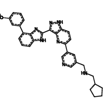 COc1cccc(-c2cccc3[nH]c(-c4n[nH]c5ccc(-c6cncc(CNCC7CCCC7)c6)nc45)nc23)c1